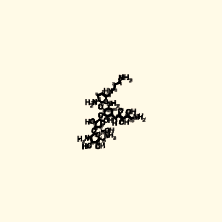 NCCCNCC1=CC[C@@H](N)[C@@H](O[C@H]2[C@H](O[C@@H]3O[C@H](CO)[C@@H](O[C@H]4O[C@@H](CN)[C@@H](O)[C@H](O)[C@H]4N)[C@H]3O)[C@@H](O)[C@H](NC(=O)[C@@H](O)[C@@H](O)CN)C[C@@H]2N)O1